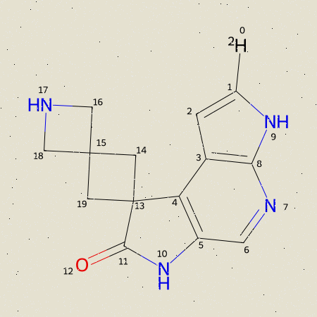 [2H]c1cc2c3c(cnc2[nH]1)NC(=O)C31CC2(CNC2)C1